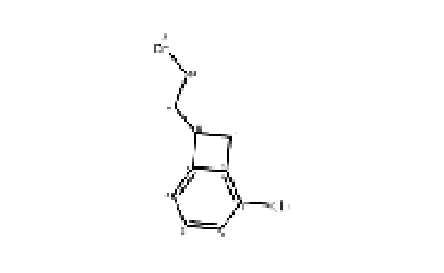 Clc1cccc2c1CC2CCBr